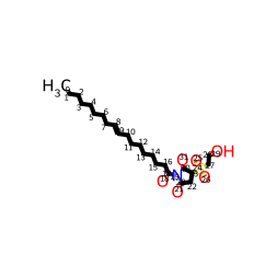 CCCCCCCCC=CCCCCCCCC(=O)N1C(=O)CC(S(=O)(=O)CCO)C1=O